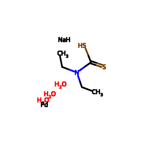 CCN(CC)C(=S)S.O.O.O.[NaH].[Pd]